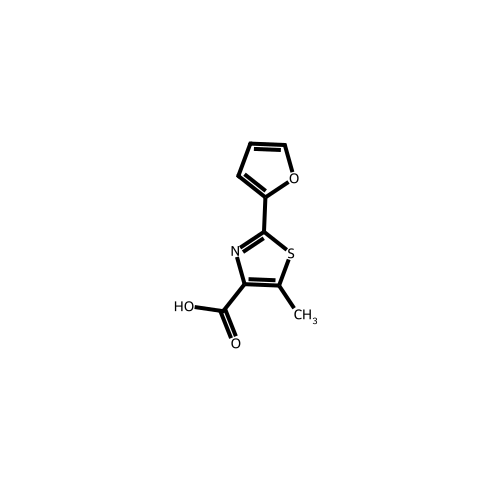 Cc1sc(-c2ccco2)nc1C(=O)O